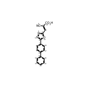 N#C/C(=C\c1nnc(-c2ccc(-c3ccccc3)cc2)o1)C(=O)O